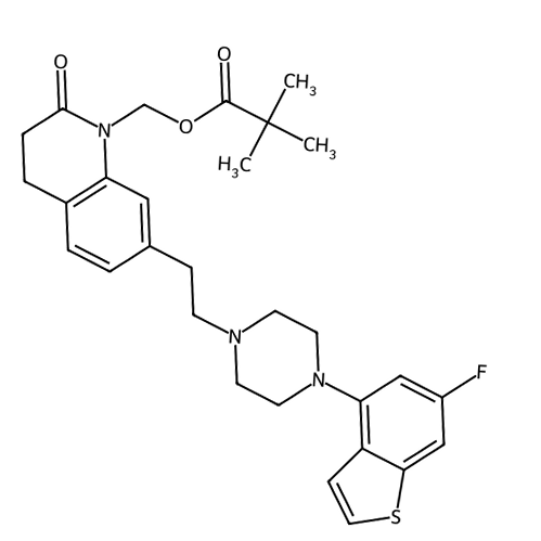 CC(C)(C)C(=O)OCN1C(=O)CCc2ccc(CCN3CCN(c4cc(F)cc5sccc45)CC3)cc21